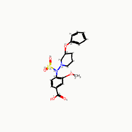 COc1cc(C(=O)O)ccc1N(N1CCCC(Oc2ccccc2)C1)[SH](=O)=O